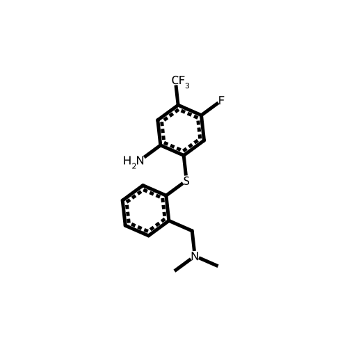 CN(C)Cc1ccccc1Sc1cc(F)c(C(F)(F)F)cc1N